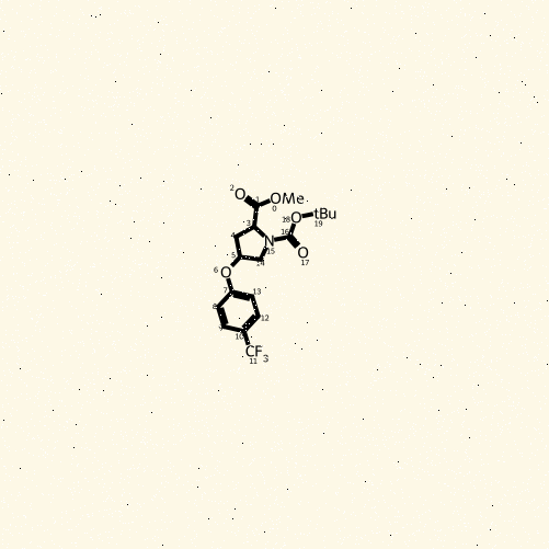 COC(=O)C1CC(Oc2ccc(C(F)(F)F)cc2)CN1C(=O)OC(C)(C)C